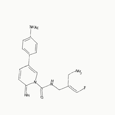 CC(=O)Nc1ccc(-c2ccc(=N)n(C(=O)NC/C(=C/F)CN)c2)cc1